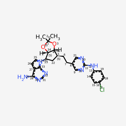 CC1(C)O[C@@H]2[C@@H](CCc3cnc(Nc4ccc(Cl)cc4)nc3)C[C@@H](n3ccc4c(N)ncnc43)[C@@H]2O1